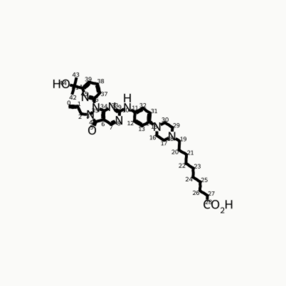 C=CCn1c(=O)c2cnc(Nc3ccc(N4CCN(CCCCCCCCCC(=O)O)CC4)cc3)nc2n1-c1cccc(C(C)(C)O)n1